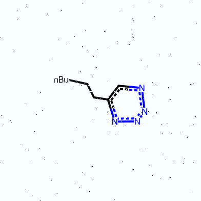 CCCCCCc1cnnnn1